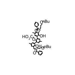 CCCCOCCCN(Cc1cc(C)cc(-c2cc(C)cc(-c3cc(C)cc(CN(CCCOCCCC)C(=O)c4ccccc4)c3O)c2OCC(=O)O)c1O)C(=O)c1ccccc1